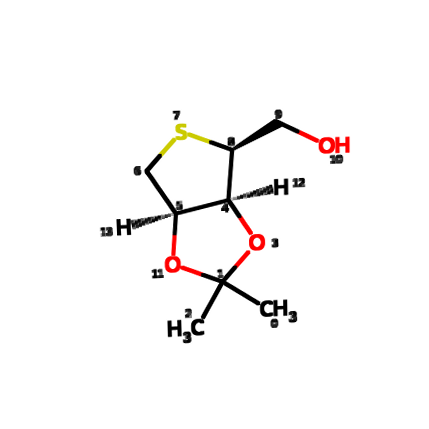 CC1(C)O[C@H]2[C@H](CS[C@H]2CO)O1